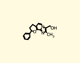 Cc1nc2c3c(ccn2c1CO)CCC(c1ccccc1)O3